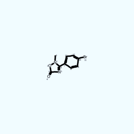 Cn1oc(=O)nc1-c1ccc(Br)cc1